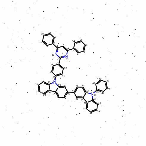 c1ccc(-c2cc(-c3ccccc3)nc(-c3ccc(-n4c5ccccc5c5ccc(-c6ccc7c(c6)c6ccccc6n7-c6ccccc6)cc54)cc3)n2)cc1